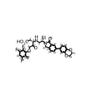 CC[C@@H](CN[C@H](CC(=O)O)C(=O)COc1c(F)c(F)cc(F)c1F)N1Cc2ccc(-c3ccc4c(c3)OCCO4)cc2C1=O